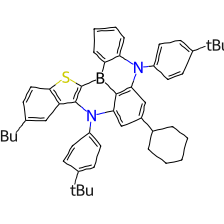 CC(C)(C)c1ccc(N2c3ccccc3B3c4sc5ccc(C(C)(C)C)cc5c4N(c4ccc(C(C)(C)C)cc4)c4cc(C5CCCCC5)cc2c43)cc1